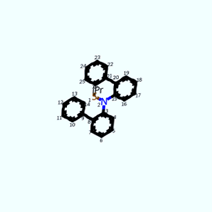 CC(C)SN(c1ccccc1-c1ccccc1)c1ccccc1-c1ccccc1